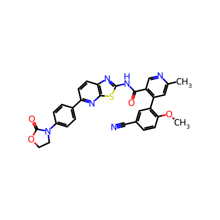 COc1ccc(C#N)cc1-c1cc(C)ncc1C(=O)Nc1nc2ccc(-c3ccc(N4CCOC4=O)cc3)nc2s1